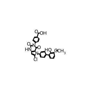 COc1cccc(-c2ccc(-n3c(Cl)cc4[nH]c(=O)n(-c5ccc(C(=O)O)cc5)c(=O)c43)cc2)c1O